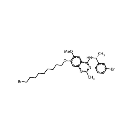 COc1cc2c(N[C@H](C)c3cccc(Br)c3)nc(C)nc2cc1OCCCCCCCCCBr